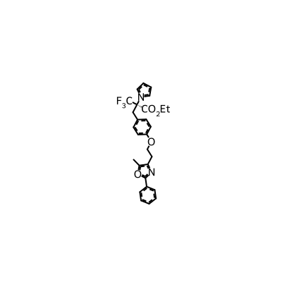 CCOC(=O)[C@@](Cc1ccc(OCCc2nc(-c3ccccc3)oc2C)cc1)(n1cccc1)C(F)(F)F